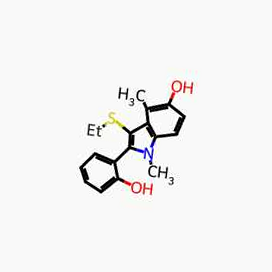 CCSc1c(-c2ccccc2O)n(C)c2ccc(O)c(C)c12